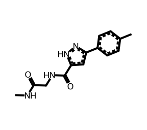 CNC(=O)CNC(=O)c1cc(-c2ccc(C)cc2)n[nH]1